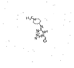 CN1CCC(N=C(N=[N+]=[N-])NNC=O)CC1